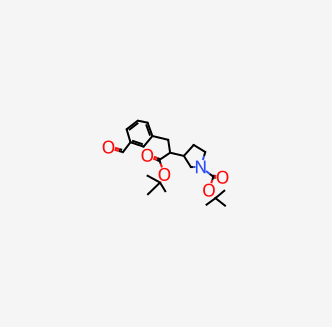 CC(C)(C)OC(=O)C(Cc1cccc(C=O)c1)C1CCN(C(=O)OC(C)(C)C)C1